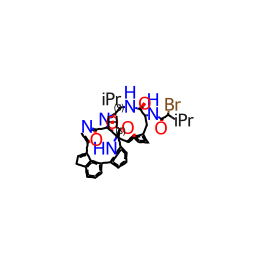 CC(C)C(Br)C(=O)NC1Cc2ccc3c(c2)C24c5cccc(c5N[C@H]2O3)-c2cccc3c2C(=CC3)c2cnc(o2)-c2nc(oc24)[C@H](C(C)C)NC1=O